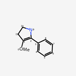 COC1=C(c2ccccc2)[N]CC1